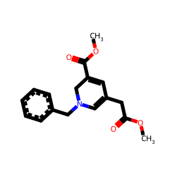 COC(=O)CC1=CN(Cc2ccccc2)CC(C(=O)OC)=C1